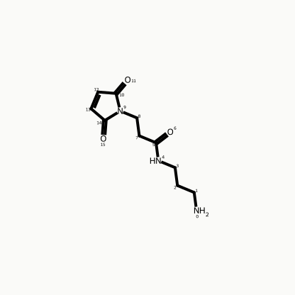 NCCCNC(=O)CCN1C(=O)C=CC1=O